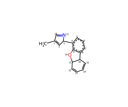 CC1=CC(c2cccc3c2OC2C=CC=CC32)N=C1